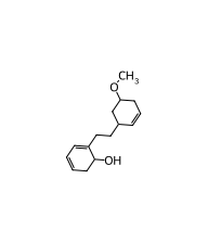 COC1CC=CC(CCC2=CC=CCC2O)C1